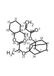 C=CC(=O)OC12CC3CC(C1)CC(OC(C)C(=O)OC1CCCCC1CC)(C3)C2